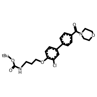 CC(C)(C)OC(=O)NCCCOc1ccc(-c2ccc(C(=O)N3CCOCC3)cc2)cc1Cl